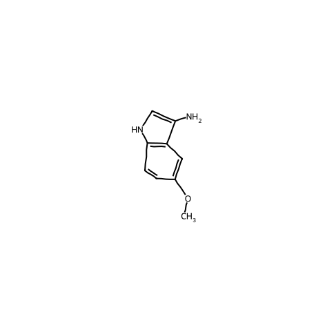 COc1ccc2[nH]cc(N)c2c1